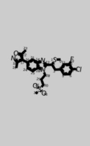 CSC(Cc1ccc(Cl)c(F)c1)c1nc2cc(-c3c(C)noc3C)ccc2n1CCCS(C)(=O)=O